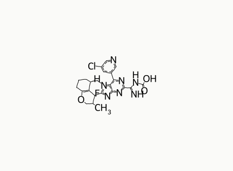 CC1COC2=C3[C@@H](CCC2)Cn2c(nc4nc(C(=N)NC(=O)O)nc(-c5cncc(Cl)c5)c42)C31F